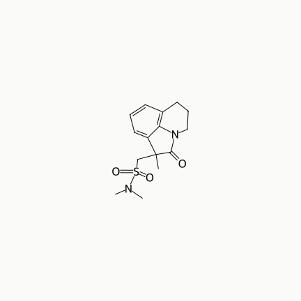 CN(C)S(=O)(=O)CC1(C)C(=O)N2CCCc3cccc1c32